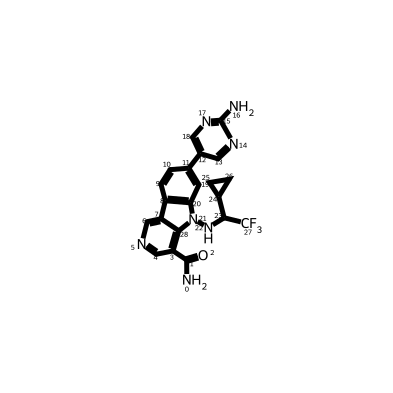 NC(=O)c1cncc2c3ccc(-c4cnc(N)nc4)cc3n(NC(C3CC3)C(F)(F)F)c12